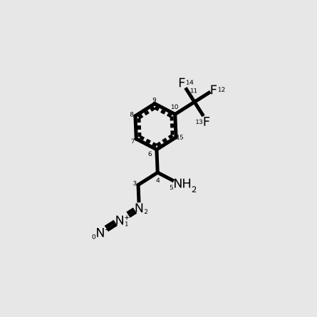 [N-]=[N+]=NCC(N)c1cccc(C(F)(F)F)c1